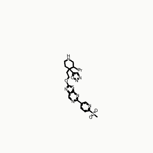 CC(C)C1CNCCC1(CCOc1nc2cnc(-c3ccc(S(C)(=O)=O)nc3)nc2s1)c1cnno1